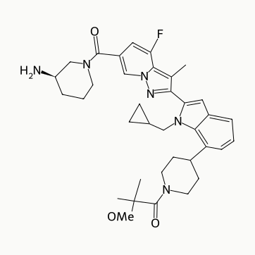 COC(C)(C)C(=O)N1CCC(c2cccc3cc(-c4nn5cc(C(=O)N6CCC[C@@H](N)C6)cc(F)c5c4C)n(CC4CC4)c23)CC1